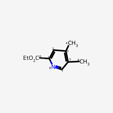 CCOC(=O)c1cc(C)c(C)cn1